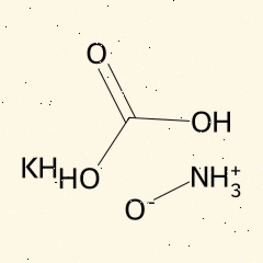 O=C(O)O.[KH].[NH3+][O-]